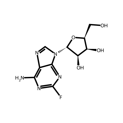 Nc1nc(F)nc2c1ncn2[C@@H]1O[C@@H](CO)[C@@H](O)[C@H]1O